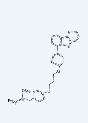 CCOC(=O)[C@H](Cc1ccc(OCCCOc2ccc(-c3cccc4c3sc3ccccc34)cc2)cc1)OC